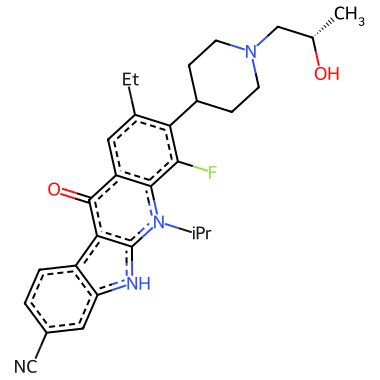 CCc1cc2c(=O)c3c4ccc(C#N)cc4[nH]c3n(C(C)C)c2c(F)c1C1CCN(C[C@H](C)O)CC1